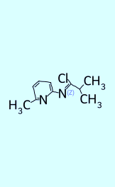 Cc1cccc(/N=C(\Cl)C(C)C)n1